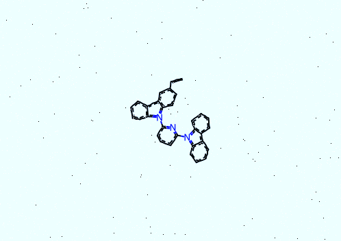 C=Cc1ccc2c(c1)c1ccccc1n2-c1cccc(-n2c3ccccc3c3ccccc32)n1